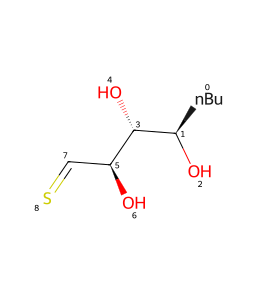 CCCC[C@@H](O)[C@@H](O)[C@@H](O)C=S